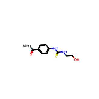 COC(=O)c1ccc(NC(=S)NCCO)cc1